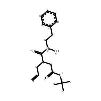 C=CCC(CC(=O)OC(C)(C)C)C(=O)N(O)CCc1ccccc1